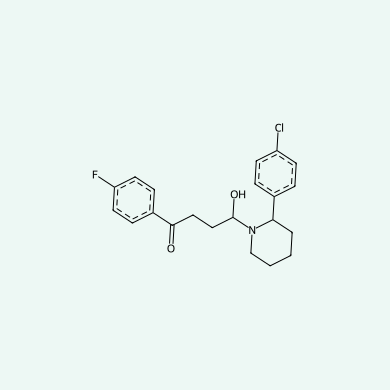 O=C(CCC(O)N1CCCCC1c1ccc(Cl)cc1)c1ccc(F)cc1